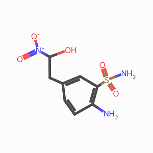 Nc1ccc(CC(O)[N+](=O)[O-])cc1S(N)(=O)=O